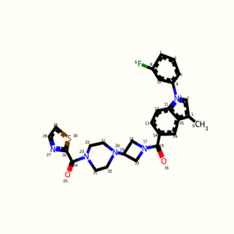 Cc1cn(-c2cccc(F)c2)c2ccc(C(=O)N3CC(N4CCN(C(=O)c5nccs5)CC4)C3)cc12